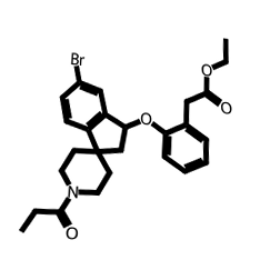 CCOC(=O)Cc1ccccc1OC1CC2(CCN(C(=O)CC)CC2)c2ccc(Br)cc21